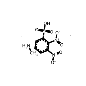 CN.O=[N+]([O-])c1cccc(S(=O)(=O)O)c1[N+](=O)[O-]